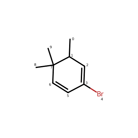 CC1C=C(Br)C=CC1(C)C